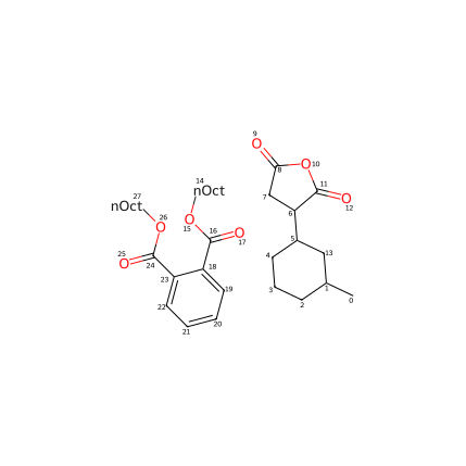 CC1CCCC(C2CC(=O)OC2=O)C1.CCCCCCCCOC(=O)c1ccccc1C(=O)OCCCCCCCC